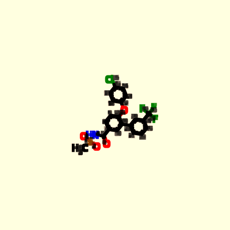 CS(=O)(=O)NC(=O)c1ccc(Oc2ccc(Cl)cc2)c(-c2cccc(C(F)(F)F)c2)c1